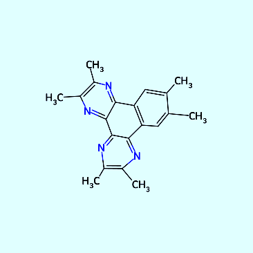 Cc1cc2c(cc1C)c1nc(C)c(C)nc1c1nc(C)c(C)nc21